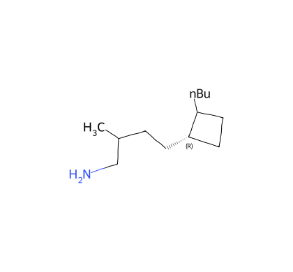 CCCCC1CC[C@@H]1CCC(C)CN